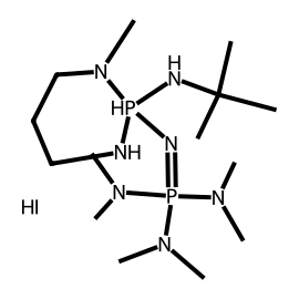 CN(C)P(=N[PH]1(NC(C)(C)C)NCCCN1C)(N(C)C)N(C)C.I